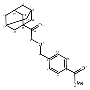 CNC(=O)c1ccc(COCC(=O)C23CC4CC(CC(C4)C2)C3)cc1